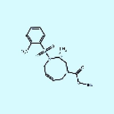 C[C@@H]1CN(C(=O)OC(C)(C)C)CC=CCN1S(=O)(=O)c1ccccc1[N+](=O)[O-]